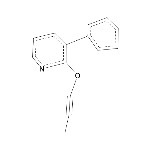 CC#COc1ncccc1-c1ccccc1